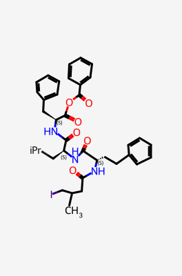 CC(C)C[C@H](NC(=O)[C@H](CCc1ccccc1)NC(=O)CC(C)CI)C(=O)N[C@@H](Cc1ccccc1)C(=O)OC(=O)c1ccccc1